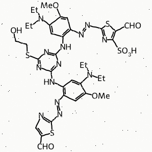 CCN(CC)c1cc(Nc2nc(Nc3cc(N(CC)CC)c(OC)cc3/N=N/c3nc(S(=O)(=O)O)c(C=O)s3)nc(SCCO)n2)c(/N=N/c2ncc(C=O)s2)cc1OC